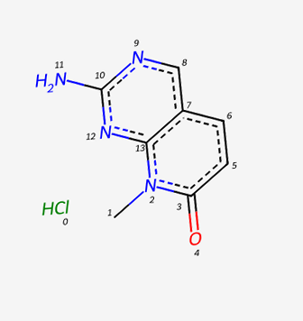 Cl.Cn1c(=O)ccc2cnc(N)nc21